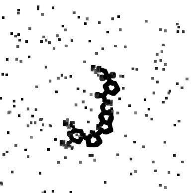 C[C@@H]1CN(c2cccc(-c3ccc4cnc(CNC(=O)c5cccc(S(=O)(=O)CC(F)(F)F)c5)cc4n3)n2)C[C@H](C)O1